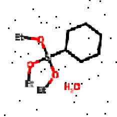 CCO[Si](OCC)(OCC)C1CCCCC1.O